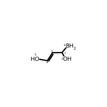 BC(O)C=CO